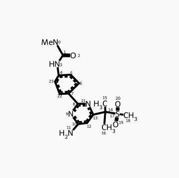 CNC(=O)Nc1ccc(-c2nc(N)cc(C(C)(C)S(C)(=O)=O)n2)cc1